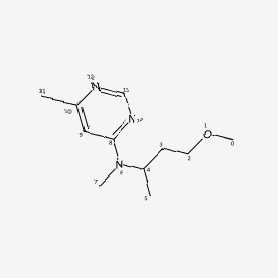 COCCC(C)N(C)c1cc(C)ncn1